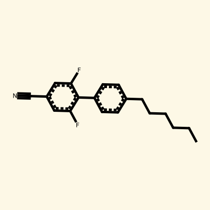 CCCCCCc1ccc(-c2c(F)cc(C#N)cc2F)cc1